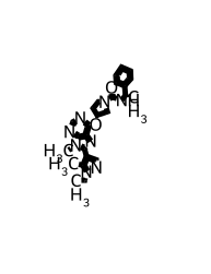 CCn1ncc(-c2nc3c(O[C@H]4CCN(C(=O)N[C@H](C)c5ccccc5)C4)ncnc3n2C)c1C